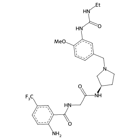 CCNC(=O)Nc1cc(CN2CC[C@@H](NC(=O)CNC(=O)c3cc(C(F)(F)F)ccc3N)C2)ccc1OC